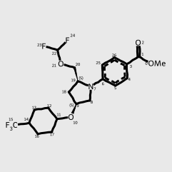 COC(=O)c1ccc(N2C[C@@H](OC3CCC(C(F)(F)F)CC3)C[C@H]2COC(F)F)cc1